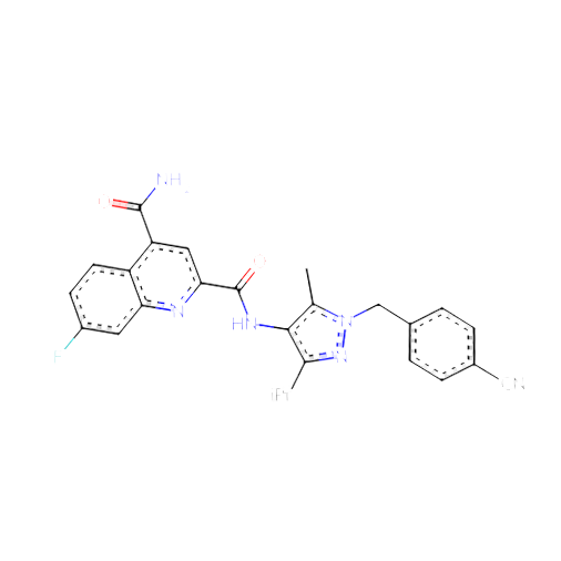 Cc1c(NC(=O)c2cc(C(N)=O)c3ccc(F)cc3n2)c(C(C)C)nn1Cc1ccc(C#N)cc1